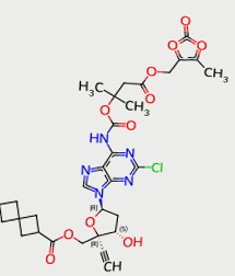 C#C[C@]1(COC(=O)C2CC3(CCC3)C2)O[C@@H](n2cnc3c(NC(=O)OC(C)(C)CC(=O)OCc4oc(=O)oc4C)nc(Cl)nc32)C[C@@H]1O